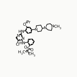 CC(C)Oc1cc(N2CCC(N3CCN(C)CC3)CC2)ccc1Nc1ncc(Cl)c(Nc2ccccc2S(=O)(=O)N(C)C)n1